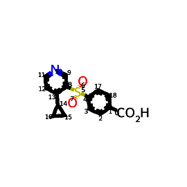 O=C(O)c1ccc(S(=O)(=O)c2cnccc2C2CC2)cc1